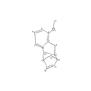 COc1cccc2c1CC1C3C=CC(C3)C21